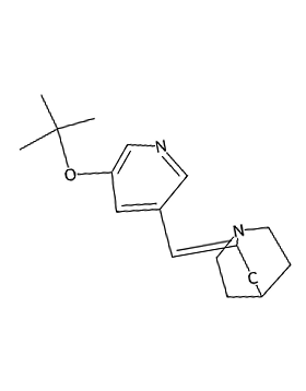 CC(C)(C)Oc1cncc(C=C2CC3CCN2CC3)c1